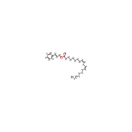 CCCCC/C=C\C/C=C\CCCCCCCC(=O)OCC=Cc1ccccc1